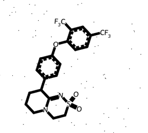 O=S1(=O)CCN2CCCC(c3ccc(Oc4ccc(C(F)(F)F)cc4C(F)(F)F)cc3)C2=N1